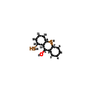 O=c1c2ccccc2sc2cccc(S)c12